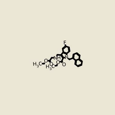 CCOC(=O)CNCc1c(C(=O)OCC)n(Cc2cccc3ccccc23)c2ccc(F)cc12